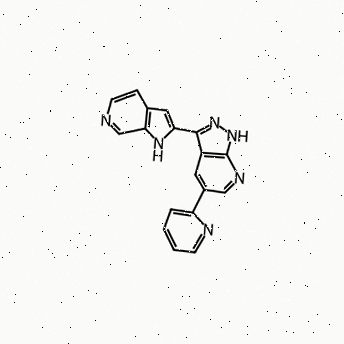 c1ccc(-c2cnc3[nH]nc(-c4cc5ccncc5[nH]4)c3c2)nc1